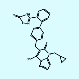 CCCc1c(Cc2ccc(-c3ccccc3-c3noc(=O)[nH]3)cc2)c(=O)n(CC2CC2)c2ncnn12